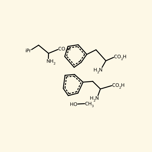 CC(C)CC(N)C(=O)O.CO.NC(Cc1ccccc1)C(=O)O.NC(Cc1ccccc1)C(=O)O